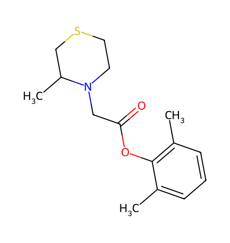 Cc1cccc(C)c1OC(=O)CN1CCSCC1C